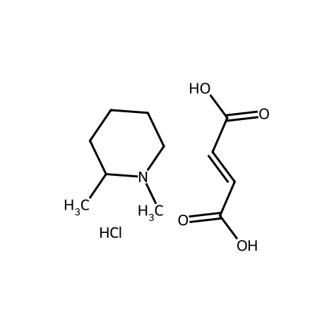 CC1CCCCN1C.Cl.O=C(O)C=CC(=O)O